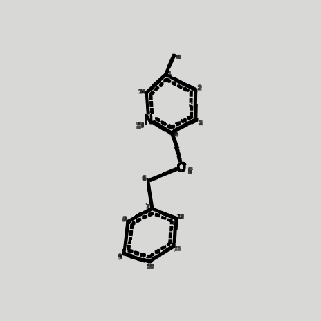 Cc1ccc(OCc2ccccc2)nc1